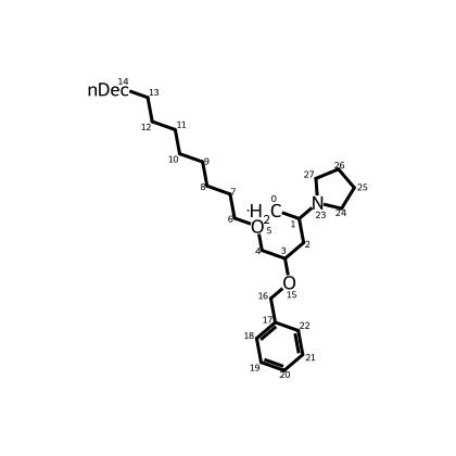 [CH2]C(CC(COCCCCCCCCCCCCCCCCCC)OCc1ccccc1)N1CCCC1